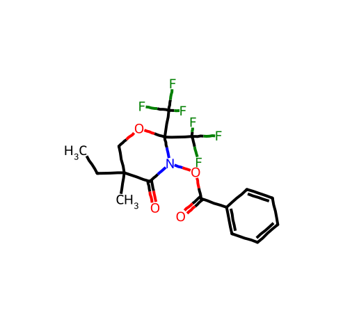 CCC1(C)COC(C(F)(F)F)(C(F)(F)F)N(OC(=O)c2ccccc2)C1=O